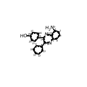 Nc1cccc2nc(-c3ccccc3)c(-c3ccc(O)cc3)nc12